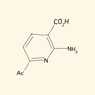 CC(=O)c1ccc(C(=O)O)c(N)n1